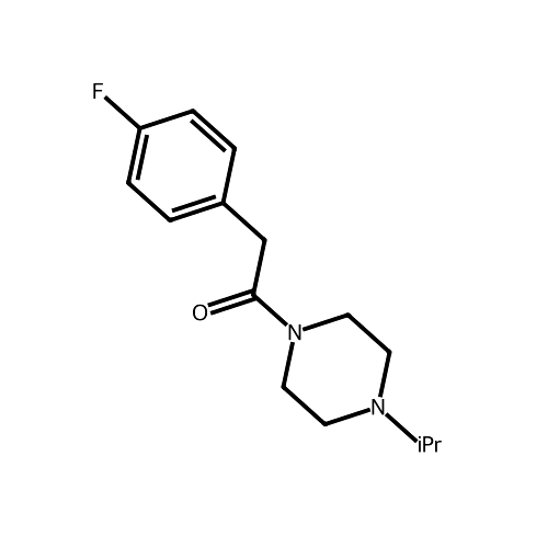 CC(C)N1CCN(C(=O)Cc2ccc(F)cc2)CC1